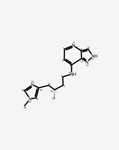 C[C@@H](CCNc1ccnc2c[nH]nc12)Cc1cn(C)cn1